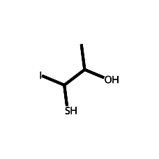 CC(O)C(S)I